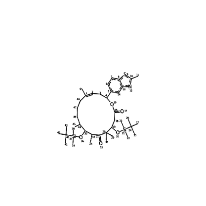 CC1=CCC(c2ccc3sc(C)nc3c2)OC(=O)CC(O[Si](C)(C)C(C)(C)C)C(C)(C)C(=O)C(C)C(O[Si](C)(C)C(C)(C)C)C(C)CCC1